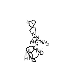 C[C@H]1CC2(CCN(c3cnc(Sc4ccnc5c4NC(=O)CC4(CC4)N5)c(N)n3)CC2)CO1